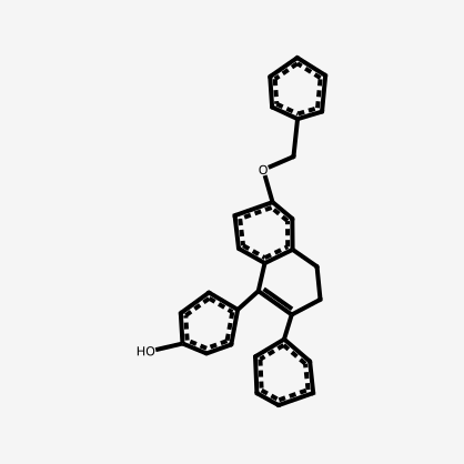 Oc1ccc(C2=C(c3ccccc3)CCc3cc(OCc4ccccc4)ccc32)cc1